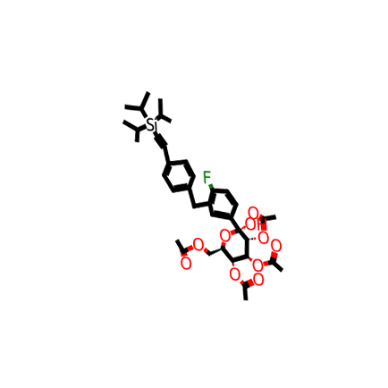 CC(=O)OC[C@H]1O[C@@](O)(c2ccc(F)c(Cc3ccc(C#C[Si](C(C)C)(C(C)C)C(C)C)cc3)c2)[C@H](OC(C)=O)[C@@H](OC(C)=O)[C@@H]1OC(C)=O